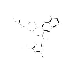 Cc1nc(N)nc(N[C@@H](C)c2cc3cccc(Cl)c3nc2N2CCN(CC(=O)O)CC2)n1